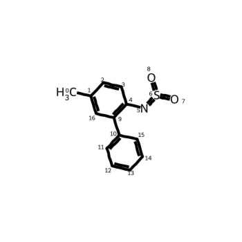 Cc1ccc(N=S(=O)=O)c(-c2ccccc2)c1